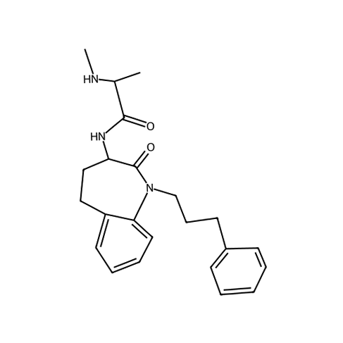 CNC(C)C(=O)NC1CCc2ccccc2N(CCCc2ccccc2)C1=O